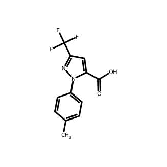 Cc1ccc(-n2nc(C(F)(F)F)cc2C(=O)O)cc1